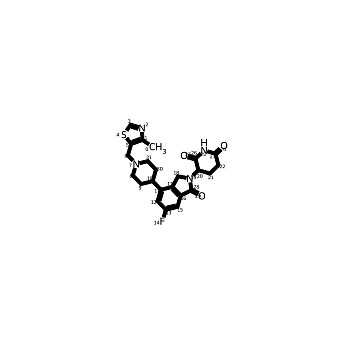 Cc1ncsc1CN1CCC(c2cc(F)cc3c2CN(C2CCC(=O)NC2=O)C3=O)CC1